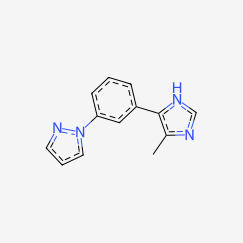 Cc1nc[nH]c1-c1cccc(-n2cccn2)c1